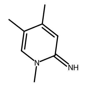 Cc1cc(=N)n(C)cc1C